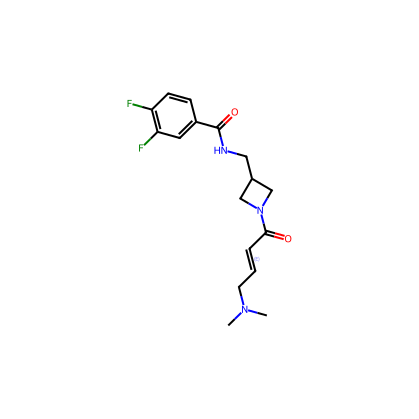 CN(C)C/C=C/C(=O)N1CC(CNC(=O)c2ccc(F)c(F)c2)C1